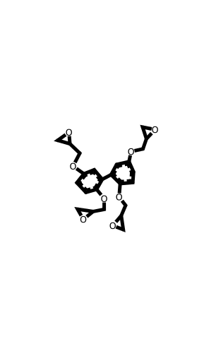 c1cc(OCC2CO2)c(-c2cc(OCC3CO3)ccc2OCC2CO2)cc1OCC1CO1